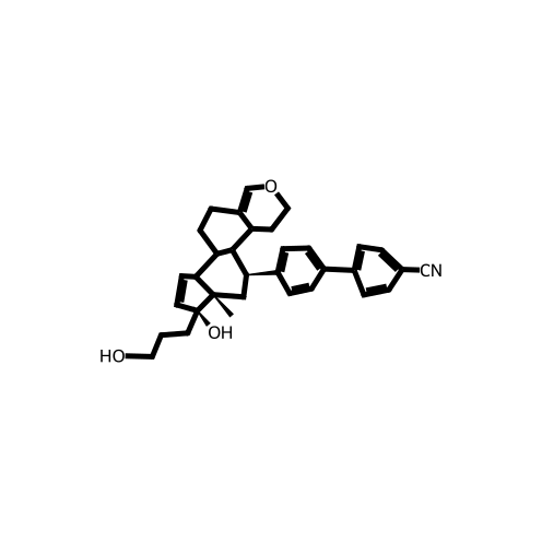 C[C@]12C[C@H](c3ccc(-c4ccc(C#N)cc4)cc3)C3C4CCOC=C4CCC3C1C=C[C@@]2(O)CCCO